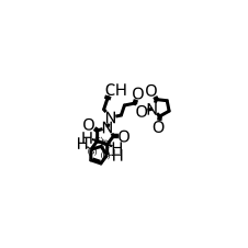 C#CCN(CCC(=O)ON1C(=O)CCC1=O)N1C(=O)[C@@H]2[C@H](C1=O)[C@H]1C=C[C@@H]2C1